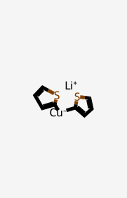 [Li+].c1cs[c]([Cu-][c]2cccs2)c1